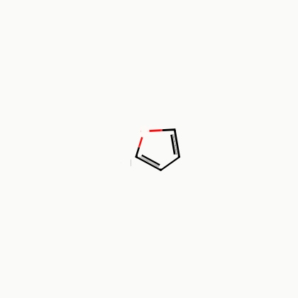 [KH].[c]1ccco1